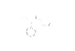 CN1C(=O)[C@@H](N)c2ccccc2CN1C(=O)O